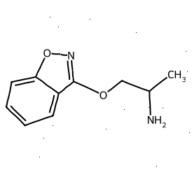 CC(N)COc1noc2ccccc12